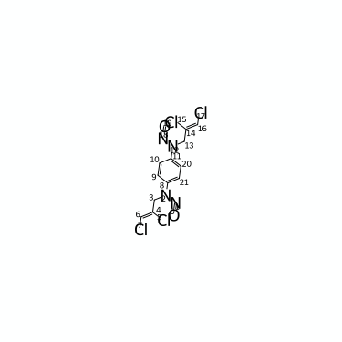 O=NN(CC(Cl)=CCl)c1ccc(N(CC(Cl)=CCl)N=O)cc1